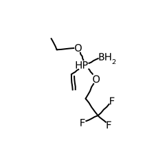 B[PH](C=C)(OCC)OCC(F)(F)F